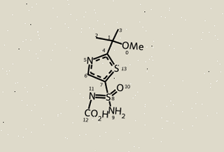 COC(C)(C)c1ncc(S(N)(=O)=NC(=O)O)s1